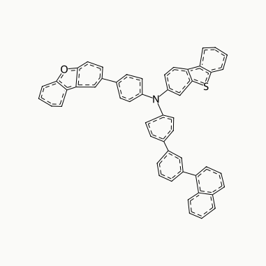 c1cc(-c2ccc(N(c3ccc(-c4ccc5oc6ccccc6c5c4)cc3)c3ccc4c(c3)sc3ccccc34)cc2)cc(-c2cccc3ccccc23)c1